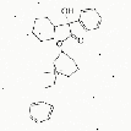 C[N+]1(CCc2ccccc2)CCCC(OC(=O)[C@](O)(c2ccccc2)C2CCCCC2)C1